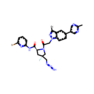 CC(=O)c1nn(CC(=O)N2C[C@@](F)(CN=[N+]=N)C[C@H]2C(=O)Nc2cccc(Br)n2)c2ccc(-c3cnc(C)nc3)cc12